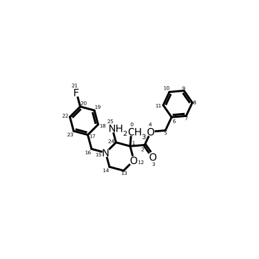 CC1(C(=O)OCc2ccccc2)OCCN(Cc2ccc(F)cc2)C1N